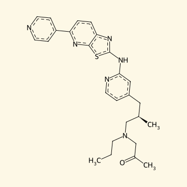 CCCN(CC(C)=O)C[C@H](C)Cc1ccnc(Nc2nc3ccc(-c4ccncc4)nc3s2)c1